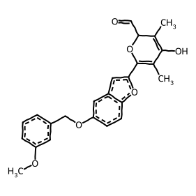 COc1cccc(COc2ccc3oc(C4=C(C)C(O)=C(C)C(C=O)O4)cc3c2)c1